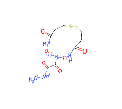 NNC(=O)C(=O)N1NONC(=O)CCSSCCC(=O)NO1